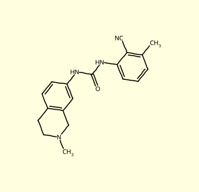 Cc1cccc(NC(=O)Nc2ccc3c(c2)CN(C)CC3)c1C#N